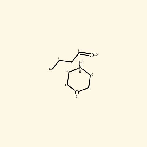 C1COCCN1.CCCC=O